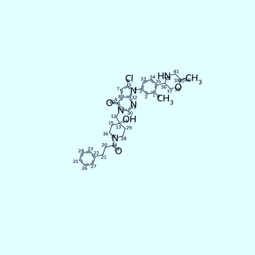 Cc1cc(-n2c(Cl)cc3c(=O)n(CC4(O)CCN(C(=O)CCc5ccccc5)CC4)cnc32)ccc1C1CO[C@H](C)CN1